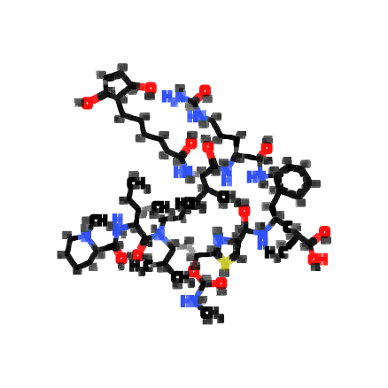 CCCN(C(=O)[C@@H](NC(=O)[C@H]1CCCCN1C)[C@@H](C)CC)[C@H](C[C@@H](OC(=O)NC)c1nc(C(=O)N[C@@H](Cc2ccccc2NC(=O)[C@H](CCCNC(N)=O)NC(=O)[C@@H](NC(=O)CCCCCC2C(=O)C=CC2=O)C(C)C)C[C@H](C)C(=O)O)cs1)C(C)C